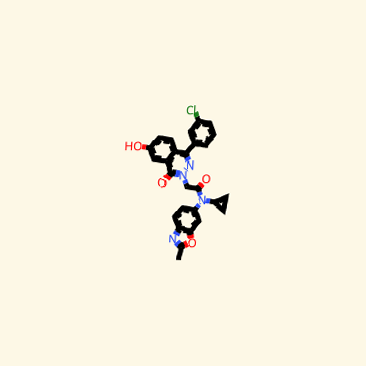 Cc1nc2ccc(N(C(=O)Cn3nc(-c4cccc(Cl)c4)c4ccc(O)cc4c3=O)C3CC3)cc2o1